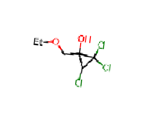 CCOCC1(O)C(Cl)C1(Cl)Cl